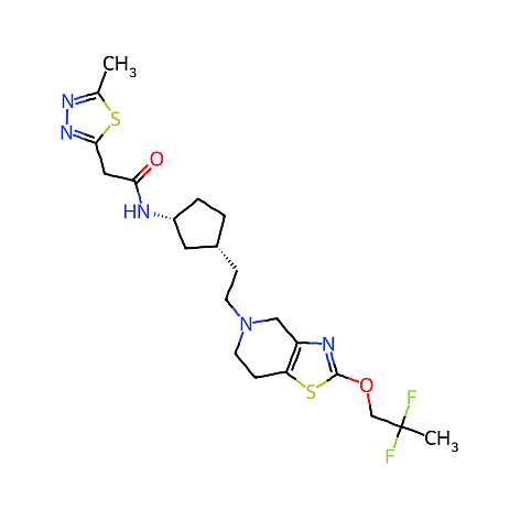 Cc1nnc(CC(=O)N[C@@H]2CC[C@H](CCN3CCc4sc(OCC(C)(F)F)nc4C3)C2)s1